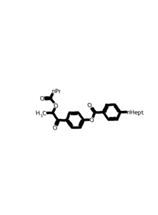 CCCCCCCc1ccc(C(=O)Oc2ccc(C(=O)C(C)OC(=O)CCC)cc2)cc1